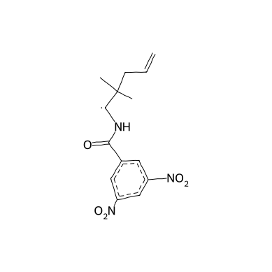 C=CCC(C)(C)[CH]NC(=O)c1cc([N+](=O)[O-])cc([N+](=O)[O-])c1